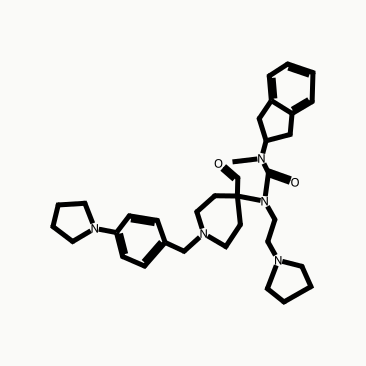 CN(C(=O)N(CCN1CCCC1)C1(C=O)CCN(Cc2ccc(N3CCCC3)cc2)CC1)C1Cc2ccccc2C1